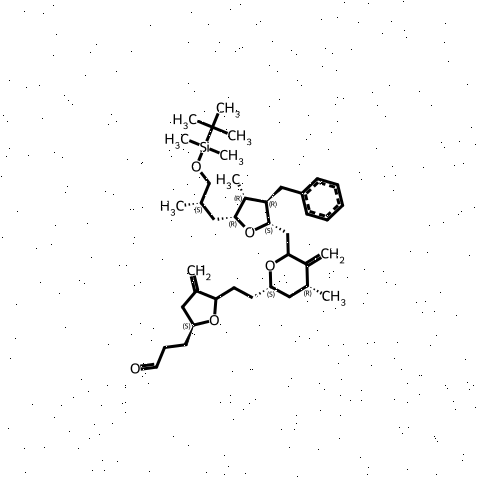 C=C1C[C@H](CCC=O)OC1CC[C@H]1C[C@@H](C)C(=C)C(C[C@@H]2O[C@H](C[C@H](C)CO[Si](C)(C)C(C)(C)C)[C@H](C)[C@H]2Cc2ccccc2)O1